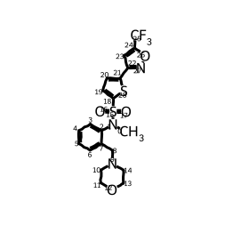 CN(c1ccccc1CN1CCOCC1)S(=O)(=O)c1ccc(-c2cc(C(F)(F)F)on2)s1